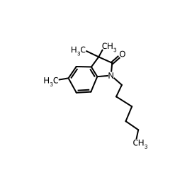 CCCCCCN1C(=O)C(C)(C)c2cc(C)ccc21